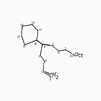 C=CCCC(CCCCCCCCCCC)C1CCCCC1